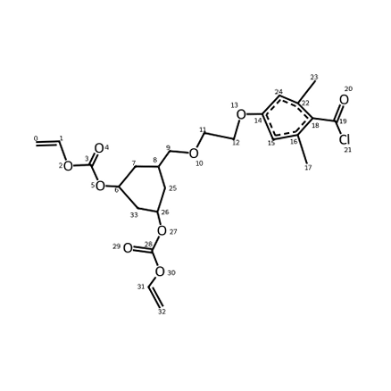 C=COC(=O)OC1CC(COCCOc2cc(C)c(C(=O)Cl)c(C)c2)CC(OC(=O)OC=C)C1